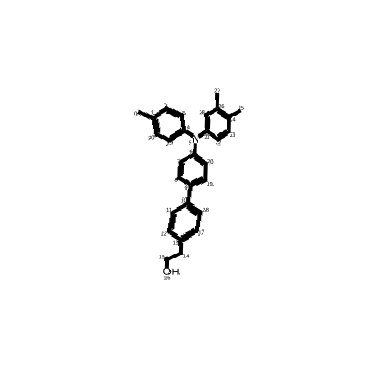 Cc1ccc(N(c2ccc(-c3ccc(CCO)cc3)cc2)c2ccc(C)c(C)c2)cc1